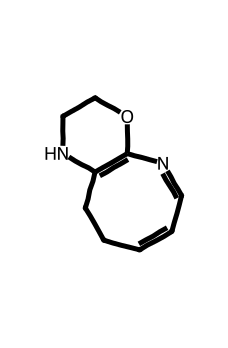 C1=CCCC2=C(/N=C\1)OCCN2